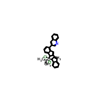 CC1=Cc2c(-c3cnc4ccccc4c3)cccc2[CH]1[Zr]([Cl])([Cl])([CH]1C=Cc2ccccc21)[SiH](C)C